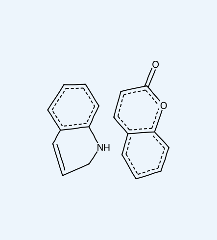 C1=Cc2ccccc2NC1.O=c1ccc2ccccc2o1